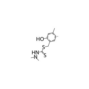 Cc1[c]cc(CSC(=S)NN(C)C)c(O)c1